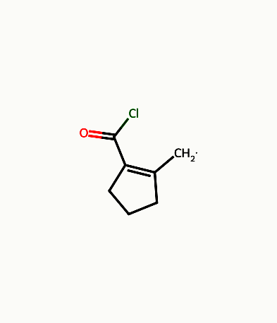 [CH2]C1=C(C(=O)Cl)CCC1